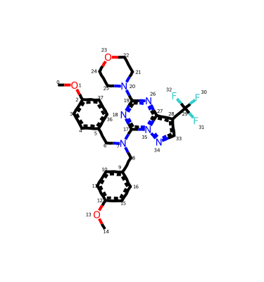 COc1ccc(CN(Cc2ccc(OC)cc2)c2nc(N3CCOCC3)nc3c(C(F)(F)F)cnn23)cc1